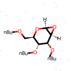 CCCCOC[C@H]1O[C@H]2O[C@H]2[C@@H](OCCCC)[C@@H]1OCCCC